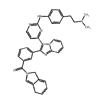 CN(C)CCc1ccc(Nc2nccc(-c3c(-c4cccc(C(=O)N5C=C6CC=CC=C6C5)c4)nc4ccccn34)n2)cc1